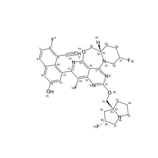 C#Cc1c(F)ccc2cc(O)cc(-c3nc4c5c(nc(OC[C@@]67CCCN6C[C@H](F)C7)nc5c3F)N3CC(F)CC[C@H]3CO4)c12